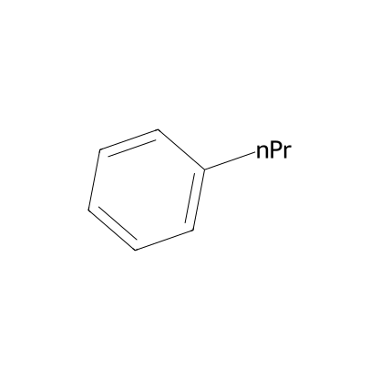 [C]CCc1ccccc1